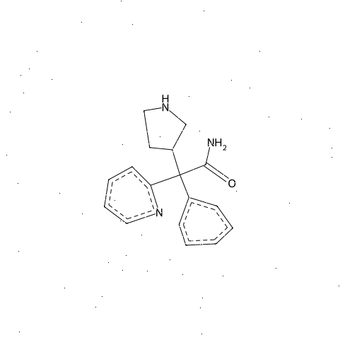 NC(=O)C(c1ccccc1)(c1ccccn1)C1CCNC1